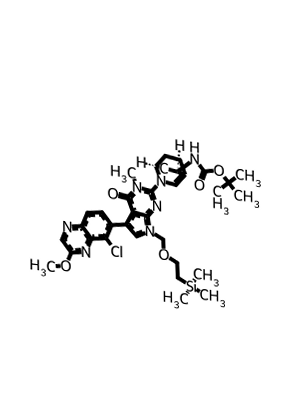 COc1cnc2ccc(-c3cn(COCC[Si](C)(C)C)c4nc(N5C=C6CC[C@H]5C[C@H]6NC(=O)OC(C)(C)C)n(C)c(=O)c34)c(Cl)c2n1